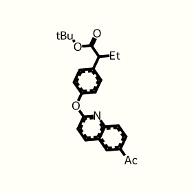 CCC(C(=O)OC(C)(C)C)c1ccc(Oc2ccc3cc(C(C)=O)ccc3n2)cc1